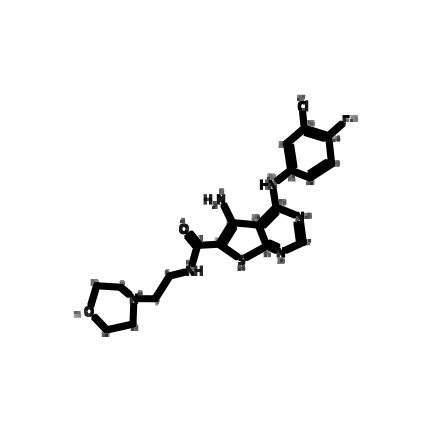 Nc1c(C(=O)NCCN2CCOCC2)sc2ncnc(Nc3ccc(F)c(Cl)c3)c12